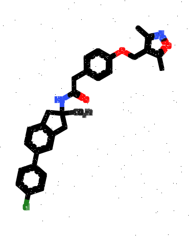 CCOC(=O)C1(NC(=O)Cc2ccc(OCc3c(C)noc3C)cc2)Cc2ccc(-c3ccc(Cl)cc3)cc2C1